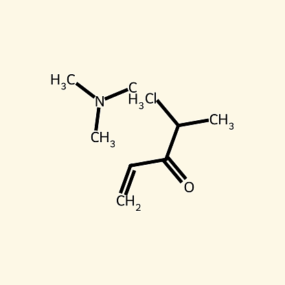 C=CC(=O)C(C)Cl.CN(C)C